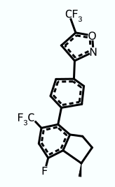 C[C@@H]1CCc2c(-c3ccc(-c4cc(C(F)(F)F)on4)cc3)c(C(F)(F)F)cc(F)c21